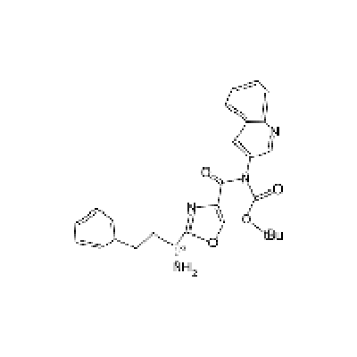 CC(C)(C)OC(=O)N(C(=O)c1coc([C@H](N)CCc2ccccc2)n1)c1cnc2ccccc2c1